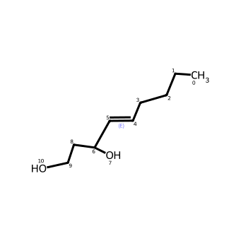 CCCC/C=C/C(O)CCO